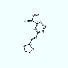 COC(=O)c1cncc(C=CC2OCCO2)c1